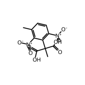 Cc1ccc([N+](=O)[O-])c(C(C)(C(=O)O)C(=O)O)c1[N+](=O)[O-]